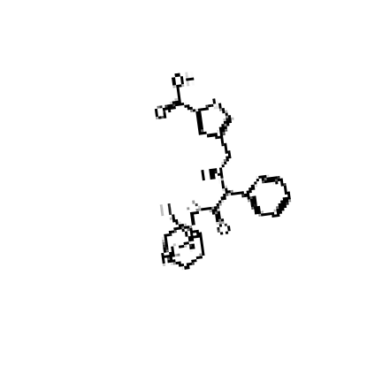 O=C(O)c1cc(CNC(C(=O)O[C@H]2CN3CCC2CC3)c2ccccc2)cs1